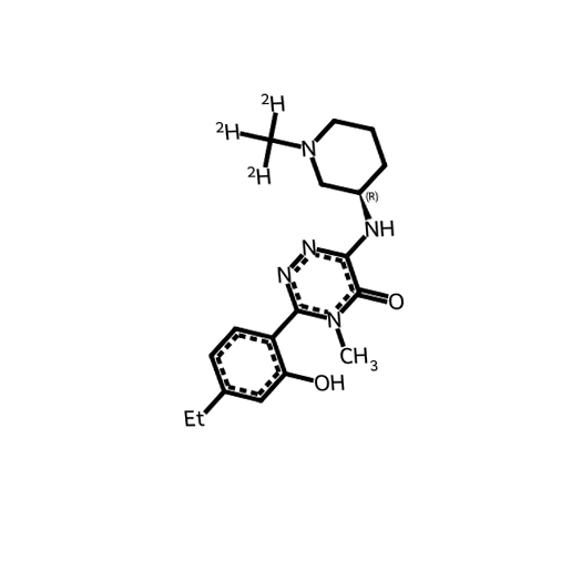 [2H]C([2H])([2H])N1CCC[C@@H](Nc2nnc(-c3ccc(CC)cc3O)n(C)c2=O)C1